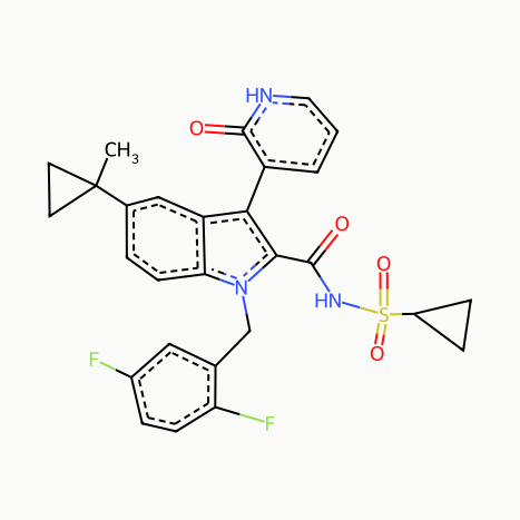 CC1(c2ccc3c(c2)c(-c2ccc[nH]c2=O)c(C(=O)NS(=O)(=O)C2CC2)n3Cc2cc(F)ccc2F)CC1